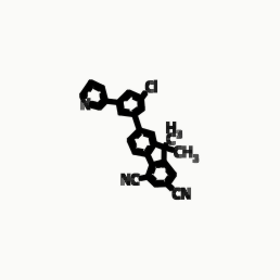 CC1(C)c2cc(-c3cc(Cl)cc(-c4cccnc4)c3)ccc2-c2c(C#N)cc(C#N)cc21